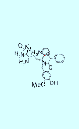 COc1cc(CN(C(=O)C(c2ccccc2)c2ccccc2)[C@@H](CCC(N)C(N)=N[N+](=O)[O-])C(N)=O)ccc1O